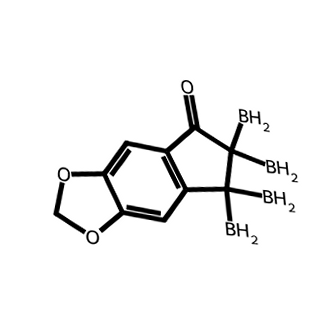 BC1(B)C(=O)c2cc3c(cc2C1(B)B)OCO3